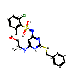 Cc1cccc(Cl)c1S(=O)(=O)Nc1cc(N[C@H](C)CO)nc(SCc2ccccc2)n1